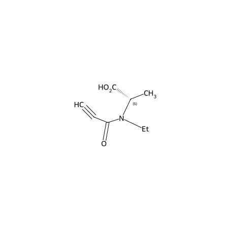 C#CC(=O)N(CC)[C@@H](C)C(=O)O